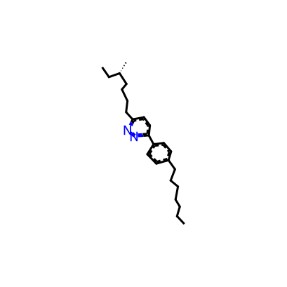 CCCCCCCc1ccc(-c2ccc(CCCC[C@@H](C)CC)nn2)cc1